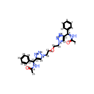 CC(=O)NC(c1ccccc1)c1cn(CCOCCn2cc(C(NC(C)=O)c3ccccc3)nn2)nn1